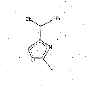 CCCC(CC)c1coc(C)n1